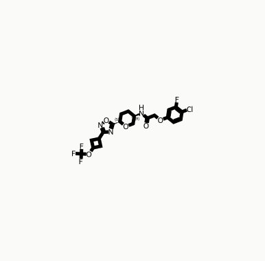 O=C(COc1ccc(Cl)c(F)c1)N[C@@H]1CC[C@@H](c2nc(C3CC(OC(F)(F)F)C3)no2)OC1